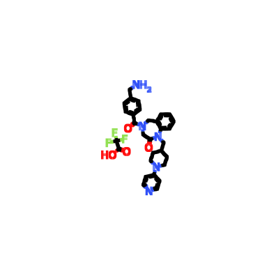 NCc1ccc(C(=O)N2CC(=O)N(CC3CCN(c4ccncc4)CC3)c3ccccc3C2)cc1.O=C(O)C(F)(F)F